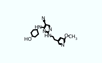 COc1cncc(CCNc2ncc(C#N)c(N[C@H]3CC[C@@H](O)CC3)n2)c1